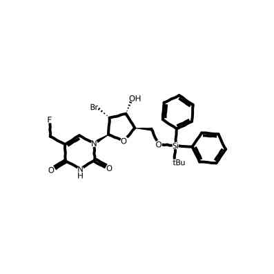 CC(C)(C)[Si](OC[C@H]1O[C@@H](n2cc(CF)c(=O)[nH]c2=O)[C@H](Br)[C@@H]1O)(c1ccccc1)c1ccccc1